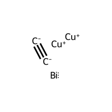 [Bi].[C-]#[C-].[Cu+].[Cu+]